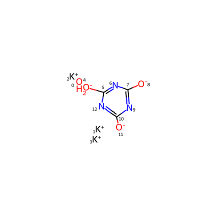 O.[K+].[K+].[K+].[O-]c1nc([O-])nc([O-])n1